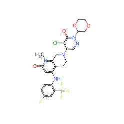 Cn1c2c(c(Nc3ccc(F)cc3C(F)(F)F)cc1=O)CCN(c1cnn(C3COCCO3)c(=O)c1Cl)C2